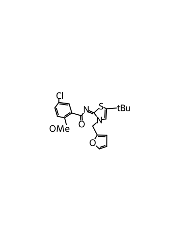 COc1ccc(Cl)cc1C(=O)N=c1sc(C(C)(C)C)cn1Cc1ccco1